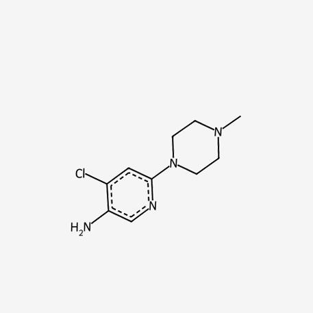 CN1CCN(c2cc(Cl)c(N)cn2)CC1